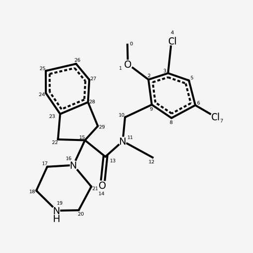 COc1c(Cl)cc(Cl)cc1CN(C)C(=O)C1(N2CCNCC2)Cc2ccccc2C1